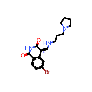 O=C1NC(=O)c2ccc(Br)cc2/C1=C/NCCCN1CCCC1